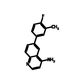 Cc1cc(-c2ccc3nccc(N)c3c2)ccc1F